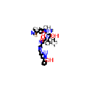 Cc1ncsc1-c1ccc([C@H](C)NC(=O)[C@@H]2C[C@@H](O)CN2C(=O)[C@@H](c2cc(C3CN(Cc4cc5cc(-c6ccccc6O)nnc5[nH]4)C3)no2)C(C)C)cc1